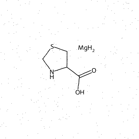 O=C(O)C1CSCN1.[MgH2]